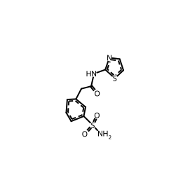 NS(=O)(=O)c1cccc(CC(=O)Nc2nccs2)c1